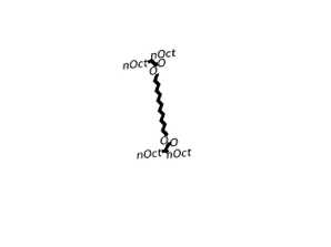 CCCCCCCCC(CCCCCCCC)C(=O)OCCCCCCCCCCCCCOC(=O)C(CCCCCCCC)CCCCCCCC